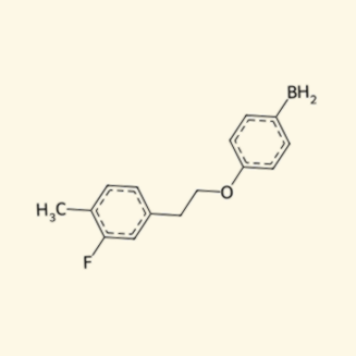 Bc1ccc(OCCc2ccc(C)c(F)c2)cc1